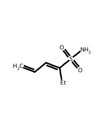 C=C/C=C(\CC)S(N)(=O)=O